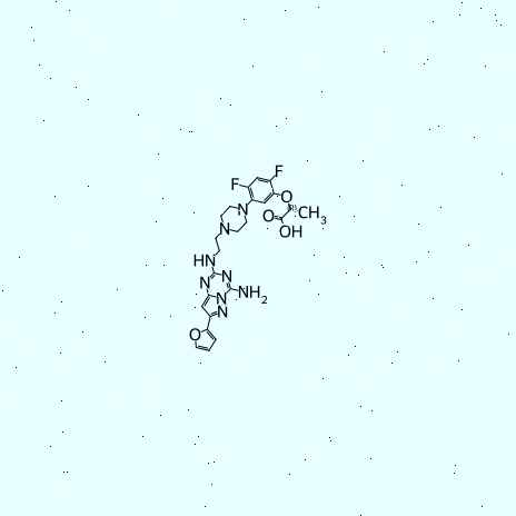 C[C@@H](Oc1cc(N2CCN(CCNc3nc(N)n4nc(-c5ccco5)cc4n3)CC2)c(F)cc1F)C(=O)O